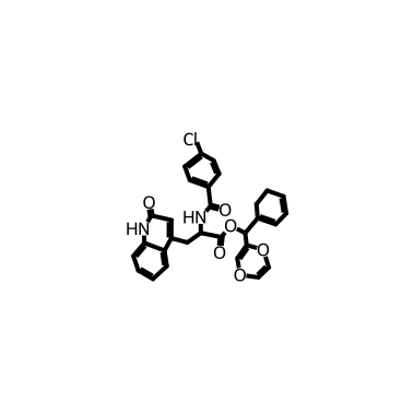 O=C(NC(Cc1cc(=O)[nH]c2ccccc12)C(=O)OC(C1=CC=CCC1)C1=COC=CO1)c1ccc(Cl)cc1